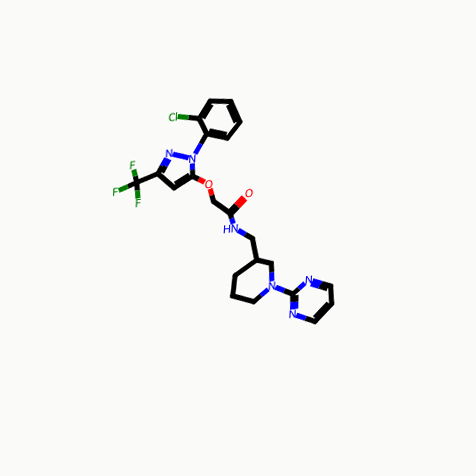 O=C(COc1cc(C(F)(F)F)nn1-c1ccccc1Cl)NCC1CCCN(c2ncccn2)C1